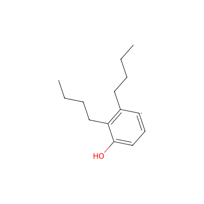 CCCCc1[c]ccc(O)c1CCCC